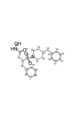 O=C(CC(Cc1ccccc1)S(=O)(=O)N1CCC(Cc2ccccc2)CC1)NO